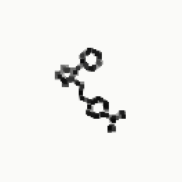 O=[N+]([O-])c1ccc(CSc2nnnn2-c2ccccc2)cc1